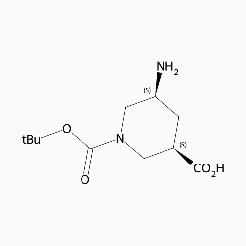 CC(C)(C)OC(=O)N1C[C@@H](N)C[C@@H](C(=O)O)C1